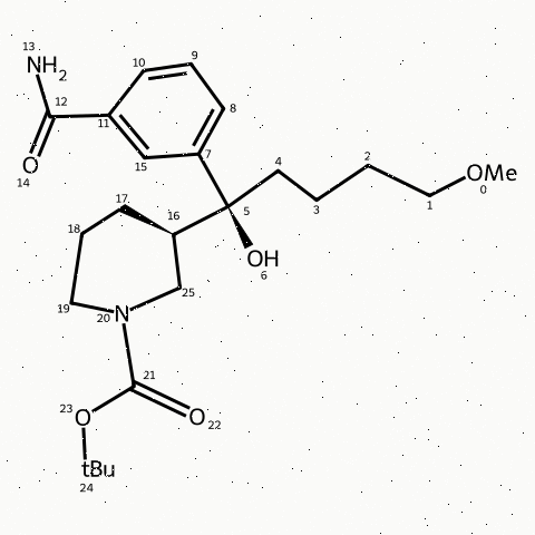 COCCCC[C@@](O)(c1cccc(C(N)=O)c1)[C@@H]1CCCN(C(=O)OC(C)(C)C)C1